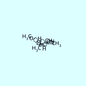 COC[C@]1(O)C[C@H]2C[C@]23[C@@H]2[C@H](C)CC4=C(CC=C(OC)C4)[C@H]2CC[C@]13C